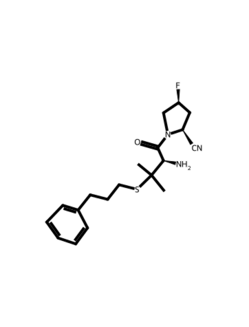 CC(C)(SCCCc1ccccc1)[C@H](N)C(=O)N1C[C@@H](F)C[C@H]1C#N